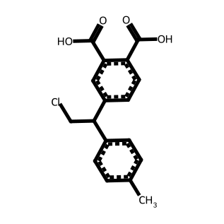 Cc1ccc(C(CCl)c2ccc(C(=O)O)c(C(=O)O)c2)cc1